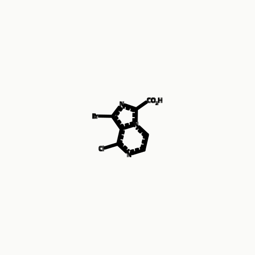 O=C(O)c1nc(Br)c2c(Cl)nccn12